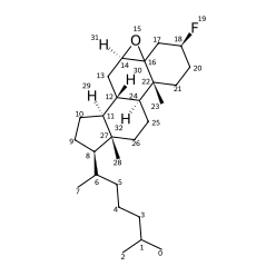 CC(C)CCCC(C)[C@H]1CC[C@H]2[C@@H]3C[C@H]4OC45C[C@@H](F)CC[C@]5(C)[C@H]3CC[C@]12C